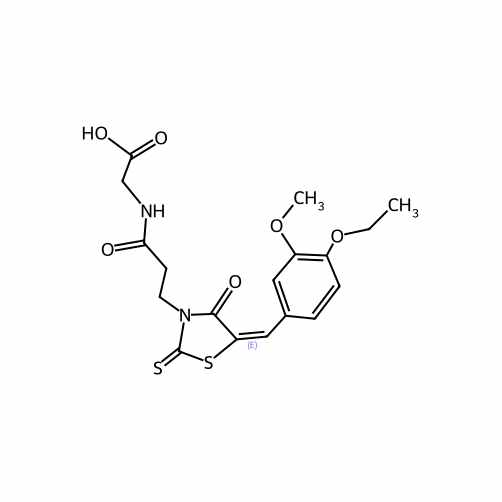 CCOc1ccc(/C=C2/SC(=S)N(CCC(=O)NCC(=O)O)C2=O)cc1OC